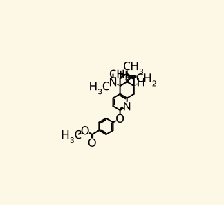 C=C[C@@H]1[C@H]2C=C(C)C[C@]1(N(C)C)c1ccc(Oc3ccc(C(=O)OC)cc3)nc1C2